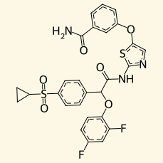 NC(=O)c1cccc(Oc2cnc(NC(=O)C(Oc3ccc(F)cc3F)c3ccc(S(=O)(=O)C4CC4)cc3)s2)c1